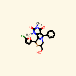 Cn1c(=O)c2c(-c3ccccc3)n3c(c2n(C)c1=O)C(c1ccc(Cl)o1)SC(CO)C3